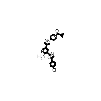 Nc1ncc(-c2cnn(C3CCN(C(=O)C4CC4)CC3)c2)cc1-c1ncc(-c2ccc(Cl)cc2)o1